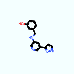 Oc1cccc(CNc2cncc(-c3cc[nH]n3)c2)c1